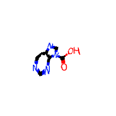 O=C(O)n1cnc2cncnc21